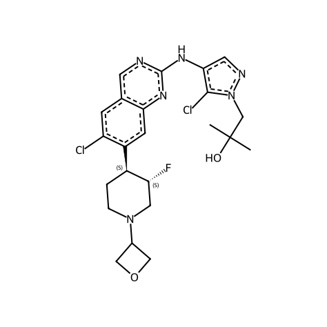 CC(C)(O)Cn1ncc(Nc2ncc3cc(Cl)c([C@@H]4CCN(C5COC5)C[C@H]4F)cc3n2)c1Cl